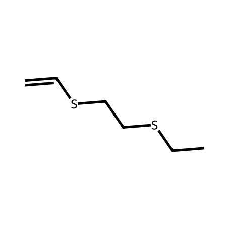 C=CSCCSCC